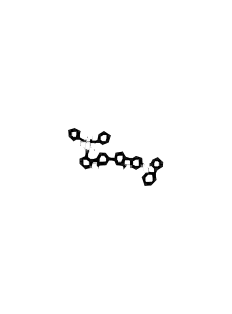 c1ccc(-c2nc(-c3ccccc3)nc(-c3cccc4oc5cc(-c6ccc7c(c6)oc6cc(-n8c9ccccc9c9ccccc98)ccc67)ccc5c34)n2)cc1